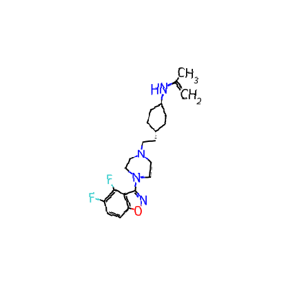 C=C(C)N[C@H]1CC[C@H](CCN2CCN(c3noc4ccc(F)c(F)c34)CC2)CC1